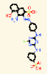 Nc1c(N=Nc2ccc(Nc3nc(F)nc(Nc4cccc(S(=O)(=O)O)c4)n3)cc2)c(S(=O)(=O)O)cc2cccc(O)c12